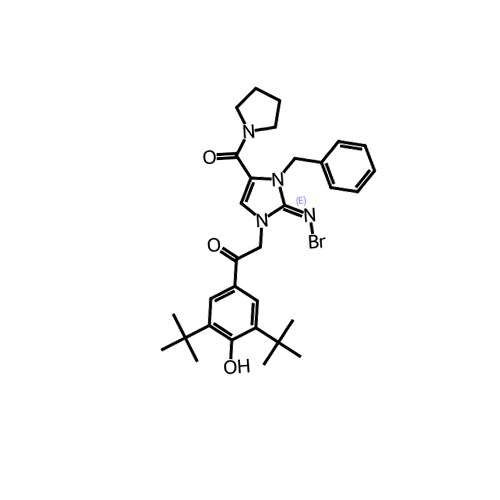 CC(C)(C)c1cc(C(=O)Cn2cc(C(=O)N3CCCC3)n(Cc3ccccc3)/c2=N/Br)cc(C(C)(C)C)c1O